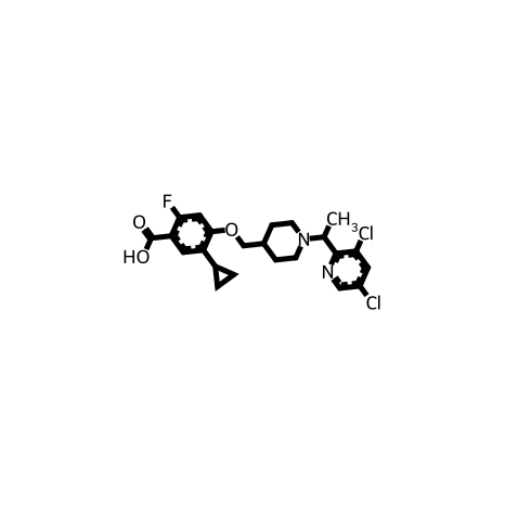 CC(c1ncc(Cl)cc1Cl)N1CCC(COc2cc(F)c(C(=O)O)cc2C2CC2)CC1